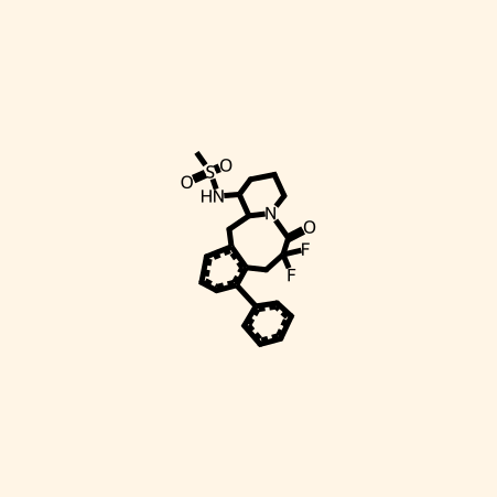 CS(=O)(=O)NC1CCCN2C(=O)C(F)(F)Cc3c(cccc3-c3ccccc3)CC12